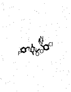 CC1CN(C(=O)COc2ccc(Cl)cc2Cn2ccnc2)C(C)CN1Cc1ccc(F)cc1